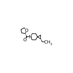 CC[C@@H]1CC12CCN(C(=O)[C@H]1CCCO1)CC2